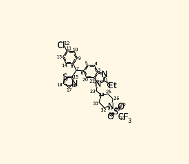 CCc1nc2ccc(C(c3ccc(Cl)cc3)c3nccs3)cc2n1CC1CCN(S(=O)(=O)C(F)(F)F)CC1